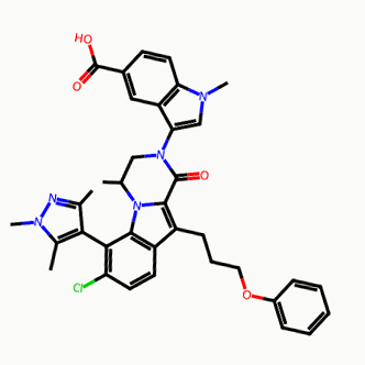 Cc1nn(C)c(C)c1-c1c(Cl)ccc2c(CCCOc3ccccc3)c3n(c12)C(C)CN(c1cn(C)c2ccc(C(=O)O)cc12)C3=O